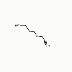 C#CCOCCCCCC